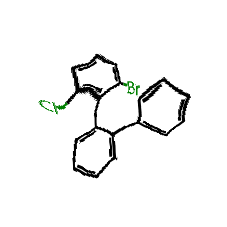 Clc1cccc(Br)c1-c1ccccc1-c1ccccc1